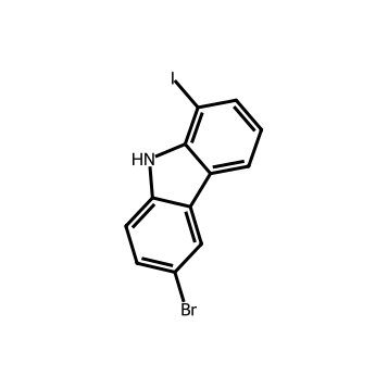 Brc1ccc2[nH]c3c(I)cccc3c2c1